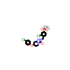 CS(=O)(=O)c1ccc(CNC(=O)N2CCC(Oc3ccc(Cl)cc3)CC2)c(Cl)c1